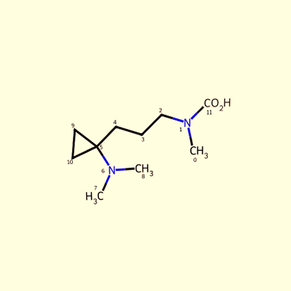 CN(CCCC1(N(C)C)CC1)C(=O)O